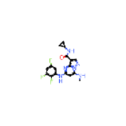 CNc1cc(Nc2cc(F)cc(F)c2F)nc2c(C(=O)NC3CC3)cnn12